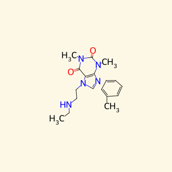 CCNCCn1cnc2c1c(=O)n(C)c(=O)n2C.Cc1ccccc1